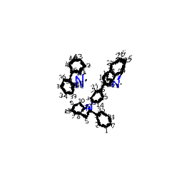 c1ccc(-c2cc3ccccc3n2-c2ccc(-c3cc4cc5c3[N]c3cccc-4c3-5)cc2)cc1.c1ccc2c(c1)[N]c1ccccc1-2